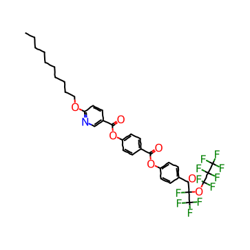 CCCCCCCCCCOc1ccc(C(=O)Oc2ccc(C(=O)Oc3ccc(C(=O)C(F)(OC(F)(F)C(F)(F)C(F)(F)F)C(F)(F)F)cc3)cc2)cn1